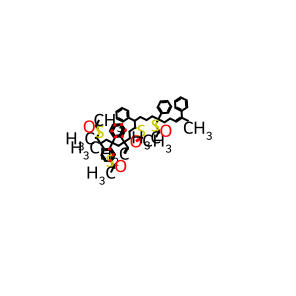 C=CC(CCC(SC(C)=O)C(CCCC(CC/C=C(/CC)c1ccccc1)(SC(C)=O)c1ccccc1)c1ccccc1)(CC(CCSC(C)=O)(CC(C)(c1ccccc1)C(C)SC(C)=O)c1ccccc1)c1ccccc1